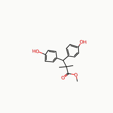 COC(=O)C(C)(C)C(c1ccc(O)cc1)c1ccc(O)cc1